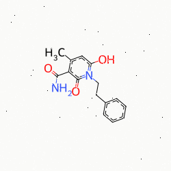 Cc1cc(O)n(CCc2ccccc2)c(=O)c1C(N)=O